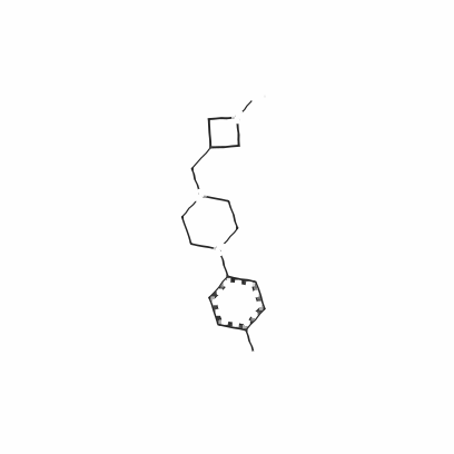 CC(C)(C)c1ccc(N2CCN(CC3CN(C(C)(C)C)C3)CC2)cc1